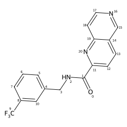 O=C(NCc1cccc(C(F)(F)F)c1)c1ccc2cnccc2n1